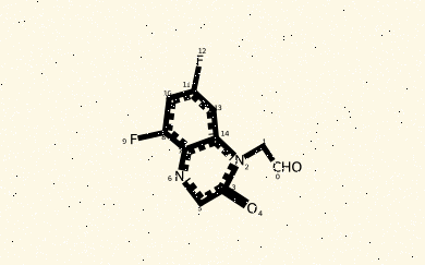 O=CCn1c(=O)cnc2c(F)cc(F)cc21